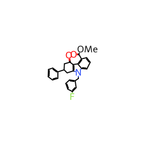 COC(=O)c1cccc2c1c1c(n2Cc2cccc(F)c2)CC(c2ccccc2)CC1=O